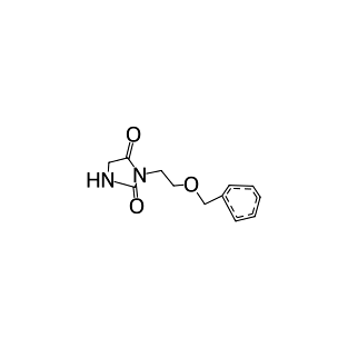 O=C1CNC(=O)N1CCOCc1ccccc1